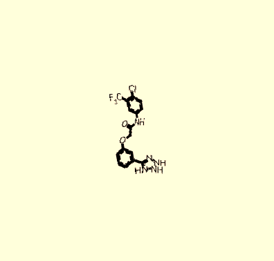 O=C(COc1cccc(C2=NNNN2)c1)Nc1ccc(Cl)c(C(F)(F)F)c1